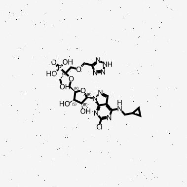 O=P(O)(O)[C@@](CO)(COCc1nn[nH]n1)OC[C@H]1O[C@@H](n2ncc3c(NCC4CC4)nc(Cl)nc32)[C@H](O)[C@@H]1O